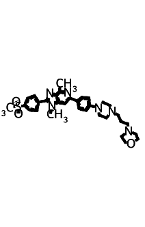 Cc1nc(-c2ccc(N3CCN(CCCN4CCOCC4)CC3)cc2)cc2c1nc(-c1ccc(S(C)(=O)=O)cc1)n2C